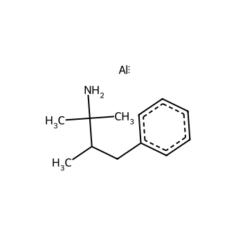 CC(Cc1ccccc1)C(C)(C)N.[Al]